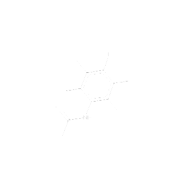 CC(=O)Nc1c(F)c(C)c(F)c(F)c1F